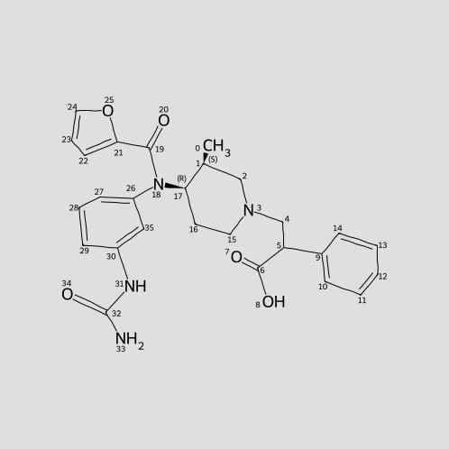 C[C@H]1CN(CC(C(=O)O)c2ccccc2)CC[C@H]1N(C(=O)c1ccco1)c1cccc(NC(N)=O)c1